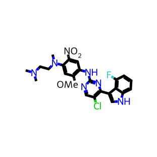 COc1cc(N(C)CCN(C)C)c([N+](=O)[O-])cc1Nc1ncc(Cl)c(-c2c[nH]c3cccc(F)c23)n1